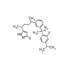 CC(C)c1ccc(C(C)(C)c2cccc(C(C)CCC(C)c3cc(F)n[nH]3)c2)c(F)c1